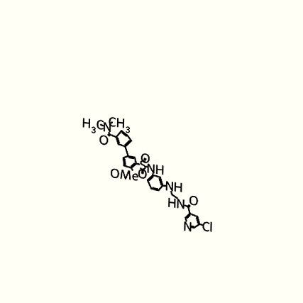 COc1ccc(-c2cccc(C(=O)N(C)C)c2)cc1S(=O)(=O)Nc1cccc(NCCNC(=O)c2cncc(Cl)c2)c1